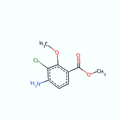 COC(=O)c1ccc(N)c(Cl)c1OC